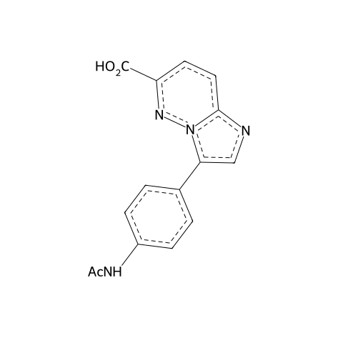 CC(=O)Nc1ccc(-c2cnc3ccc(C(=O)O)nn23)cc1